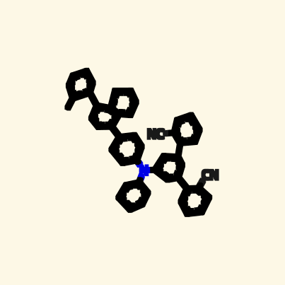 Cc1ccccc1-c1ccc(-c2ccc(N(c3ccccc3)c3cc(-c4ccccc4C#N)cc(-c4ccccc4C#N)c3)cc2)c2ccccc12